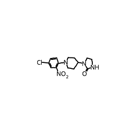 O=C1NCCN1C1CCN(c2ccc(Cl)cc2[N+](=O)[O-])CC1